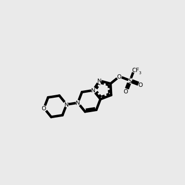 O=S(=O)(Oc1cc2n(n1)CN(N1CCOCC1)C=C2)C(F)(F)F